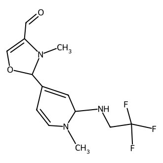 CN1C=CC(C2OC=C(C=O)N2C)=CC1NCC(F)(F)F